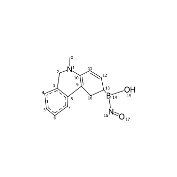 CN1Cc2ccccc2C2=C1C=CC(B(O)N=O)C2